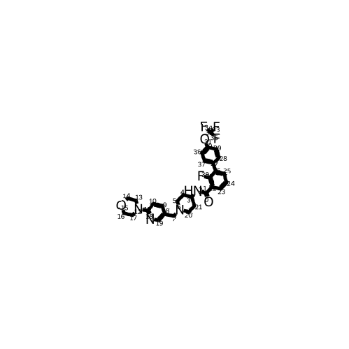 O=C(NC1CCN(Cc2ccc(N3CCOCC3)nc2)CC1)c1cccc(-c2ccc(OC(F)(F)F)cc2)c1F